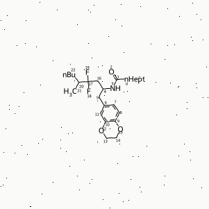 CCCCCCCC(=O)NC(Cc1ccc2c(c1)OCCO2)CC(F)(F)C(C)CCCC